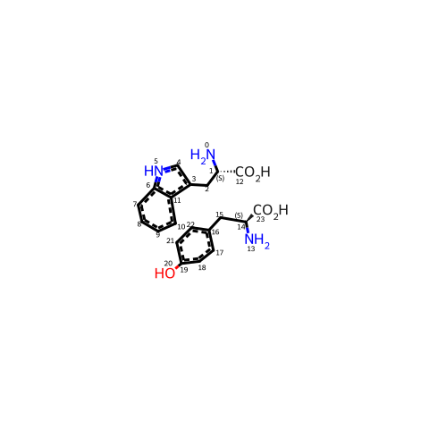 N[C@@H](Cc1c[nH]c2ccccc12)C(=O)O.N[C@@H](Cc1ccc(O)cc1)C(=O)O